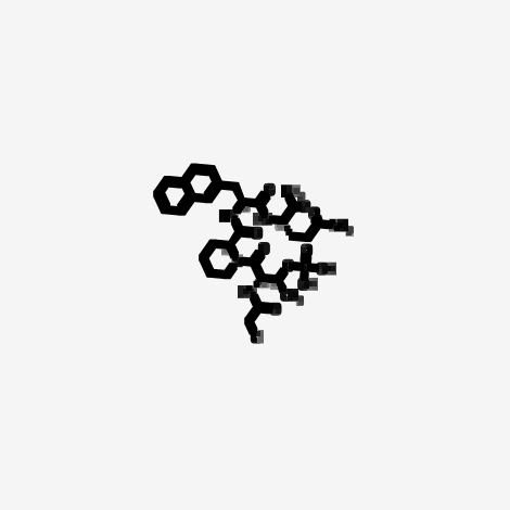 C[C@H](OP(=O)(O)O)[C@H](NC(=O)CCl)C(=O)N1CCCC[C@H]1C(=O)N[C@@H](Cc1ccc2ccccc2c1)C(=O)N[C@@H](CCC(N)=O)C(N)=O